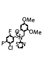 COc1ccc(CN(c2nccs2)[S+]([O-])c2cc(Cl)c(F)cc2F)c(OC)c1